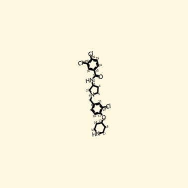 O=C(NC1CCN(Cc2ccc(OC3CCNCC3)c(Cl)c2)C1)c1ccc(Cl)c(Cl)c1